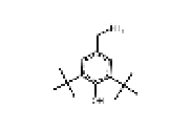 CC(C)(C)c1cc(CP)cc(C(C)(C)C)c1O